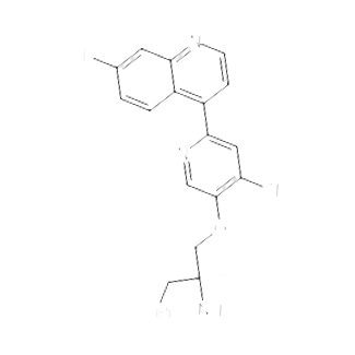 CC(C)C[C@](C)(N)COc1cnc(-c2ccnc3cc(F)ccc23)cc1Cl